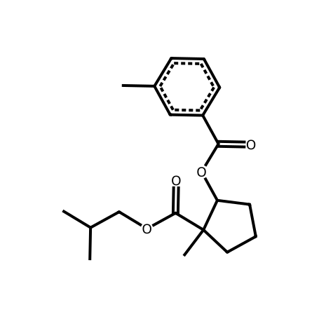 Cc1cccc(C(=O)OC2CCCC2(C)C(=O)OCC(C)C)c1